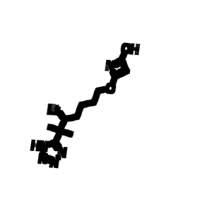 CCC(CCCCOC1=CC(O)=N1)C(C)(C)c1nnn[nH]1